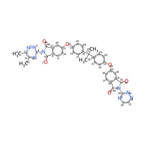 Cc1nnc(N2C(=O)c3ccc(Oc4ccc(C(C)(C)c5ccc(Oc6ccc7c(c6)C(=O)N(c6nccnn6)C7=O)cc5)cc4)cc3C2=O)nc1C